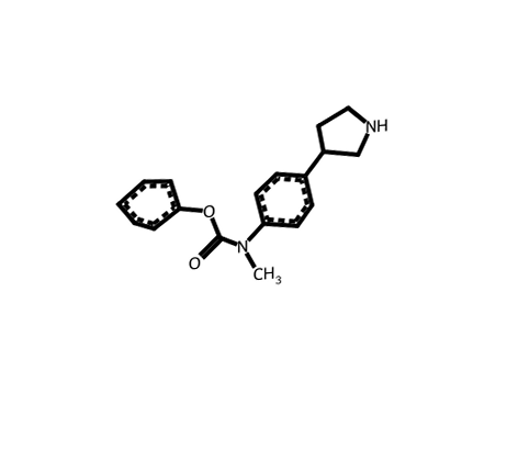 CN(C(=O)Oc1ccccc1)c1ccc(C2CCNC2)cc1